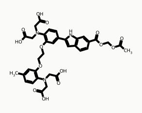 CC(=O)OCOC(=O)c1ccc2cc(-c3ccc(N(CC(=O)O)CC(=O)O)c(OCCOc4cc(C)ccc4N(CC(=O)O)CC(=O)O)c3)[nH]c2c1